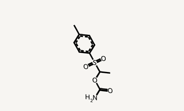 Cc1ccc(S(=O)(=O)C(C)OC(N)=O)cc1